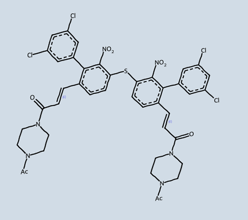 CC(=O)N1CCN(C(=O)/C=C/c2ccc(Sc3ccc(/C=C/C(=O)N4CCN(C(C)=O)CC4)c(-c4cc(Cl)cc(Cl)c4)c3[N+](=O)[O-])c([N+](=O)[O-])c2-c2cc(Cl)cc(Cl)c2)CC1